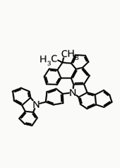 CC1(C)c2ccccc2-c2c3c1cccc3cc1c3c4ccccc4ccc3n(-c3ccc(-n4c5ccccc5c5ccccc54)cc3)c21